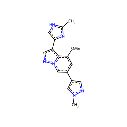 COc1cc(-c2cnn(C)c2)cn2ncc(-c3c[nH]c(C)n3)c12